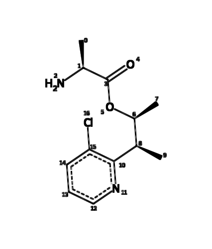 C[C@H](N)C(=O)O[C@@H](C)[C@@H](C)c1ncccc1Cl